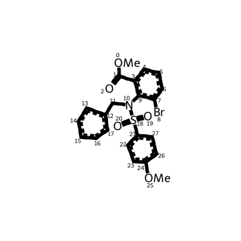 COC(=O)c1cccc(Br)c1N(Cc1ccccc1)S(=O)(=O)c1ccc(OC)cc1